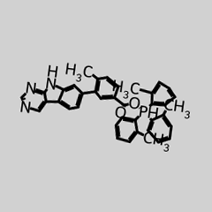 Cc1ccc(C(=O)O[PH](c2ccccc2C)(c2ccccc2C)c2ccccc2C)cc1-c1ccc2c(c1)[nH]c1ncncc12